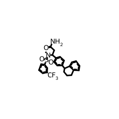 CN(C(CC(N)=O)c1ccc(C2CCCc3ccccc32)cc1)S(=O)(=O)c1cccc(C(F)(F)F)c1